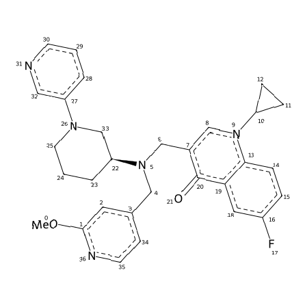 COc1cc(CN(Cc2cn(C3CC3)c3ccc(F)cc3c2=O)[C@H]2CCCN(c3cccnc3)C2)ccn1